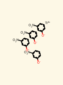 O=[N+]([O-])c1cccc([O-])c1.O=[N+]([O-])c1cccc([O-])c1.O=[N+]([O-])c1cccc([O-])c1.O=[N+]([O-])c1cccc([O-])c1.[Ti+4]